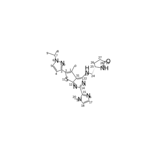 Cc1c(-c2ccn(C(C)C)n2)sc2nc(-c3nccn3C)nc(NC[C@@H]3CCC(=O)N3)c12